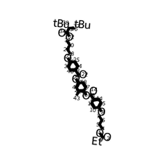 CCC(=O)OCCCCOc1ccc(C(=O)Oc2ccc(OC(=O)c3ccc(OCCCCOC(=O)C(CC(C)(C)C)C(C)(C)C)cc3)cc2C)cc1